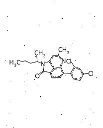 CCCC(C)N1C(=O)c2ccc(-c3ccc(Cl)cc3Cl)c3nc(C)cc1c23